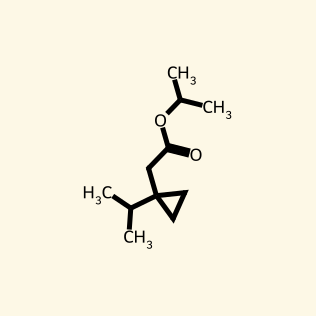 CC(C)OC(=O)CC1(C(C)C)CC1